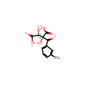 Cc1cccc(C(=O)[C@@](O)(C(=O)O)[C@H](O)C(=O)O)c1